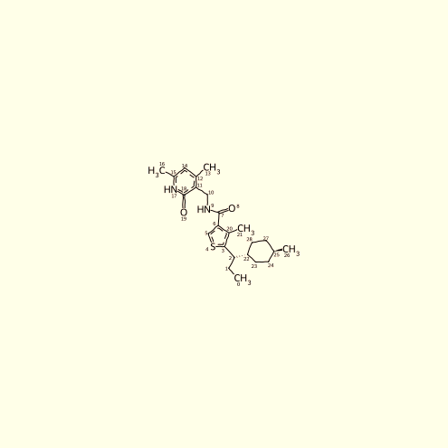 CCC(c1scc(C(=O)NCc2c(C)cc(C)[nH]c2=O)c1C)[C@H]1CC[C@H](C)CC1